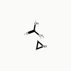 C1CN1.CC(=O)O